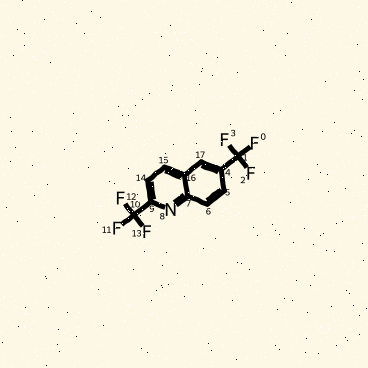 FC(F)(F)c1ccc2nc(C(F)(F)F)ccc2c1